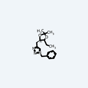 CCC1OC(C)(C)O[C@@H]1Cc1cn(Cc2ccccc2)nn1